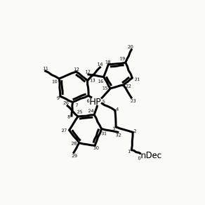 CCCCCCCCCCCCCC[PH](c1c(C)cc(C)cc1C)(c1c(C)cc(C)cc1C)c1c(C)cc(C)cc1C